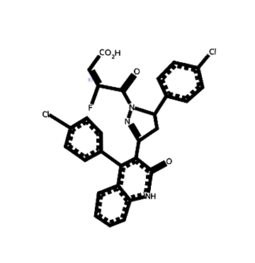 O=C(O)/C=C(/F)C(=O)N1N=C(c2c(-c3ccc(Cl)cc3)c3ccccc3[nH]c2=O)CC1c1ccc(Cl)cc1